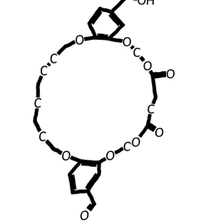 O=Cc1ccc2c(c1)OCOC(=O)CCC(=O)OCOc1cc(CO)ccc1OCCCCCCCCO2